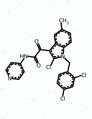 Cc1ccc2c(c1)c(C(=O)C(=O)Nc1ccncc1)c(Cl)n2Cc1ccc(Cl)cc1Cl